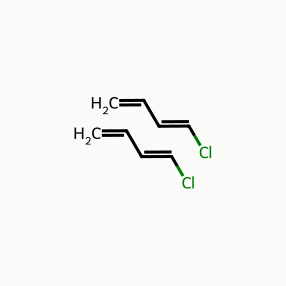 C=CC=CCl.C=CC=CCl